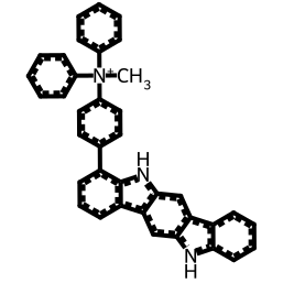 C[N+](c1ccccc1)(c1ccccc1)c1ccc(-c2cccc3c2[nH]c2cc4c(cc23)[nH]c2ccccc24)cc1